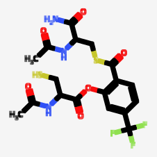 CC(=O)NC(CSC(=O)c1ccc(C(F)(F)F)cc1OC(=O)C(CS)NC(C)=O)C(N)=O